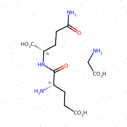 NC(=O)CC[C@H](NC(=O)[C@@H](N)CCC(=O)O)C(=O)O.NCC(=O)O